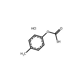 Cc1ccc(OC(=O)S)cc1.Cl